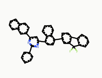 FC1(F)c2ccccc2-c2ccc(-c3ccc(-c4cc(-c5ccc6ccccc6c5)nc(-c5ccccc5)n4)c4ccccc34)cc21